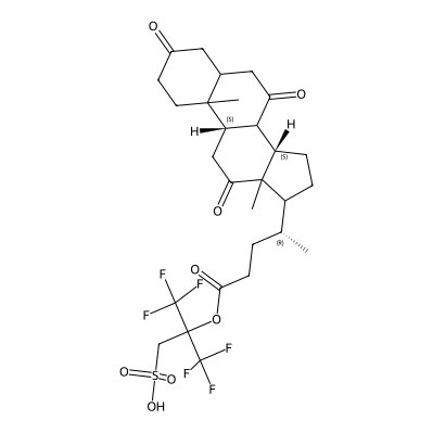 C[C@H](CCC(=O)OC(CS(=O)(=O)O)(C(F)(F)F)C(F)(F)F)C1CC[C@H]2C3C(=O)CC4CC(=O)CCC4(C)[C@H]3CC(=O)C12C